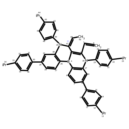 C=CC1=C2B(c3ccc(-c4ccc(C(C)C)cc4)cc3N1c1ccc(C(C)C)cc1)c1ccc(-c3ccc(C(C)C)cc3)cc1N(c1ccc(C(C)C)cc1)/C2=C/C